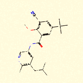 COc1c(C#N)cc(C(C)(C)C)cc1C(=O)Nc1cnc(C)c(C[C](C)C)c1